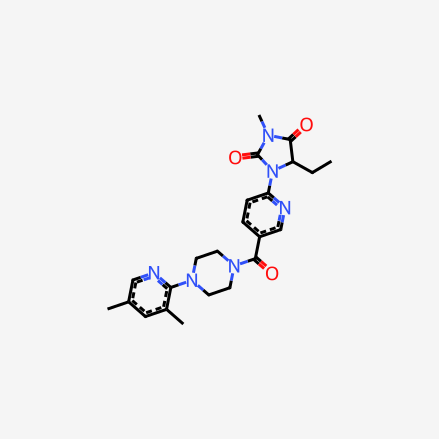 CCC1C(=O)N(C)C(=O)N1c1ccc(C(=O)N2CCN(c3ncc(C)cc3C)CC2)cn1